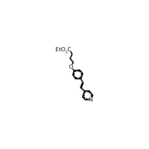 CCOC(=O)CCCOc1ccc(/C=C/c2ccncc2)cc1